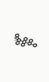 c1ccc(-c2ccc(-c3c4ccccc4c(-c4cc5c6ccccc6sc5c5ccccc45)c4ccccc34)c3ccccc23)cc1